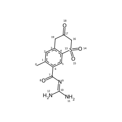 Cc1cc2c(cc1C(=O)N=C(N)N)S(=O)(=O)CC(=O)C2